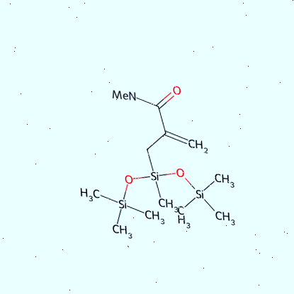 C=C(C[Si](C)(O[Si](C)(C)C)O[Si](C)(C)C)C(=O)NC